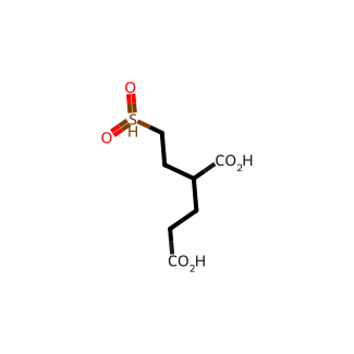 O=C(O)CCC(CC[SH](=O)=O)C(=O)O